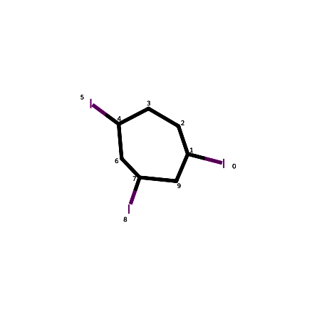 IC1CCC(I)CC(I)C1